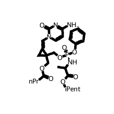 CCCC(=O)OCC1(CO[P@@](=O)(NC(C)C(=O)OC(C)CCC)Oc2ccccc2)C/C1=C/n1ccc(N)nc1=O